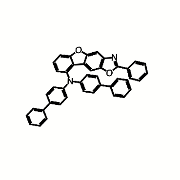 c1ccc(-c2ccc(N(c3ccc(-c4ccccc4)cc3)c3cccc4oc5cc6nc(-c7ccccc7)oc6cc5c34)cc2)cc1